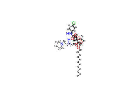 CCCCCCCCCCCCOC[C@@]12O[C@@H](CNCCN3CCCCC3)[C@@H](OC(=O)Nc3ccc(Cl)cc3)[C@@H]1OC(C)(C)O2